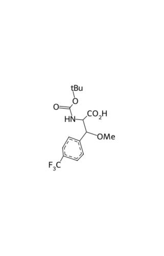 COC(c1ccc(C(F)(F)F)cc1)C(NC(=O)OC(C)(C)C)C(=O)O